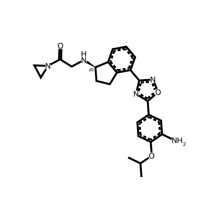 CC(C)Oc1ccc(-c2nc(-c3cccc4c3CC[C@H]4NCC(=O)N3CC3)no2)cc1N